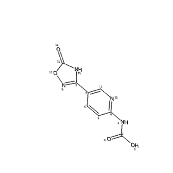 O=C(O)Nc1ccc(-c2noc(=O)[nH]2)cn1